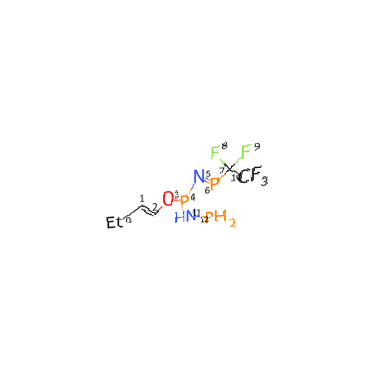 CCC=COP(N=PC(F)(F)C(F)(F)F)NP